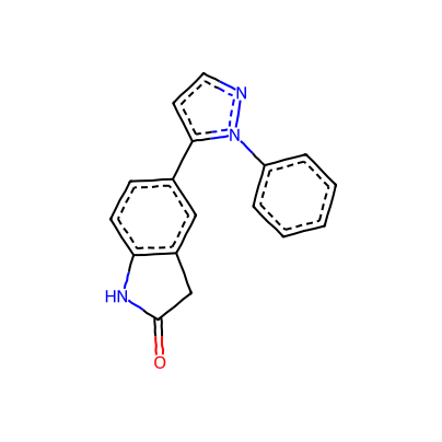 O=C1Cc2cc(-c3ccnn3-c3ccccc3)ccc2N1